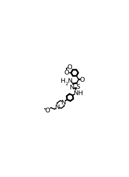 COCCN1CCN(c2ccc(Nc3nc(N)c(C(=O)c4ccc5c(c4)OCO5)s3)cc2)CC1